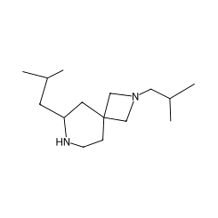 CC(C)CC1CC2(CCN1)CN(CC(C)C)C2